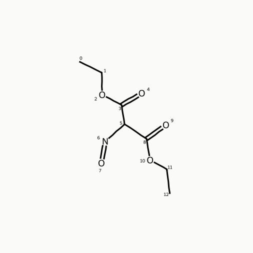 CCOC(=O)C(N=O)C(=O)OCC